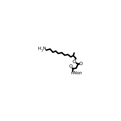 CCCCCCCCCC(=O)CC(=O)OCC(C)CCCCCCCCCN